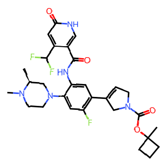 C[C@H]1CN(c2cc(F)c(C3=CCN(C(=O)OC4(C)CCC4)C3)cc2NC(=O)c2c[nH]c(=O)cc2C(F)F)CCN1C